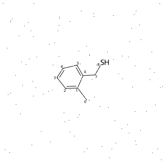 [CH2]c1ccccc1CS